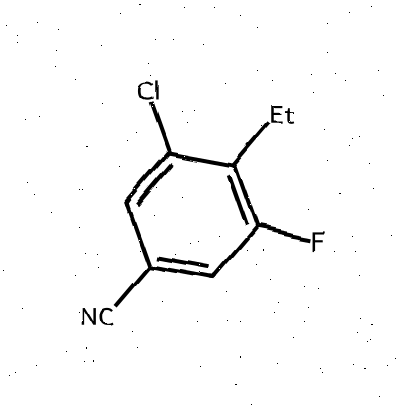 CCc1c(F)cc(C#N)cc1Cl